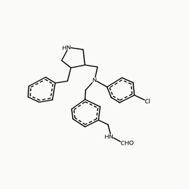 O=CNCc1cccc(CN(CC2CNCC2Cc2ccccc2)c2ccc(Cl)cc2)c1